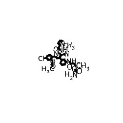 COCOc1cc(Cl)ccc1-c1cc(-c2cccc(NC(=O)CC(C)OC(N)=O)c2)c(C#N)c(NC(=O)c2cccn2C)n1